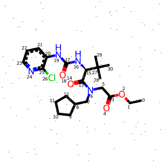 CCOC(=O)CN(CC1CCCC1)C(=O)[C@@H](NC(=O)Nc1cccnc1Cl)C(C)(C)C